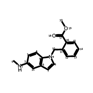 CNc1ccc2c(ccn2Cc2ccccc2C(=O)OC)c1